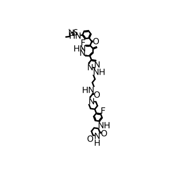 C=C1/C=C(c2cnc(NCCCCNC(=O)CN3CCC(c4ccc(NC5CCC(=O)NC5=O)cc4F)CC3)nc2)\C=N/N/C=C\1C(=O)c1cccc(NSN(C)CC)c1F